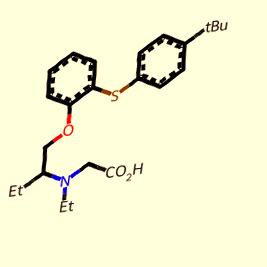 CCC(COc1ccccc1Sc1ccc(C(C)(C)C)cc1)N(CC)CC(=O)O